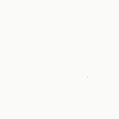 Cc1nn(-c2ccccc2)cc1CN1CCN(c2nccnc2-c2ccc(Cn3ccnn3)cc2)CC1